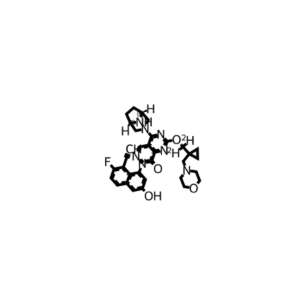 [2H]C([2H])(Oc1nc(N2C[C@H]3CC[C@@H](C2)N3)c2cnn(-c3cc(O)cc4ccc(F)c(C#C)c34)c(=O)c2n1)C1(CN2CCOCC2)CC1